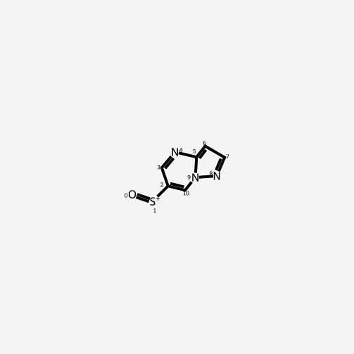 O=[S+]c1cnc2ccnn2c1